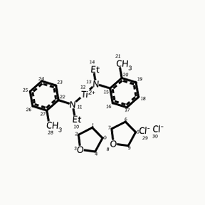 C1CCOC1.C1CCOC1.CC[N]([Ti+2][N](CC)c1ccccc1C)c1ccccc1C.[Cl-].[Cl-]